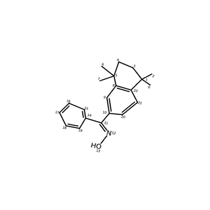 CC1(C)CCC(C)(C)c2cc(C(=NO)c3ccccc3)ccc21